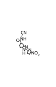 Cn1c(-c2nc3cc(C(=O)NCCC#N)ccc3[nH]2)ccc1[N+](=O)[O-]